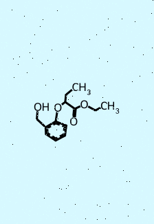 CCOC(=O)C(CC)Oc1ccccc1CO